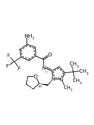 Cn1c(C(C)(C)C)c/c(=N\C(=O)c2cc(N)cc(C(F)(F)F)c2)n1C[C@H]1CCCO1